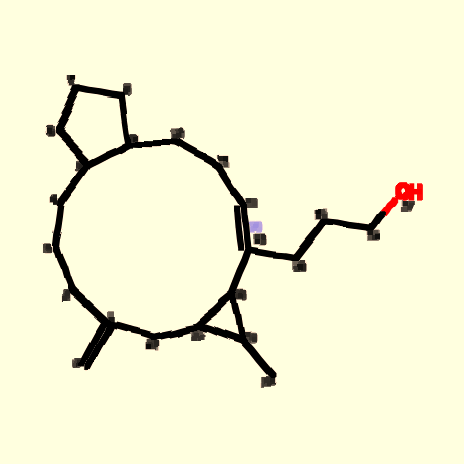 C=C1CCCC2CCCC2CC/C=C(/CCCO)C2C(C)C2C1